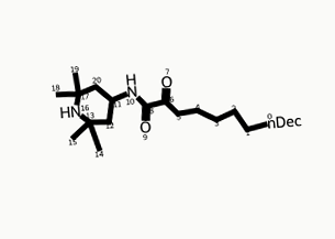 CCCCCCCCCCCCCCCC(=O)C(=O)NC1CC(C)(C)NC(C)(C)C1